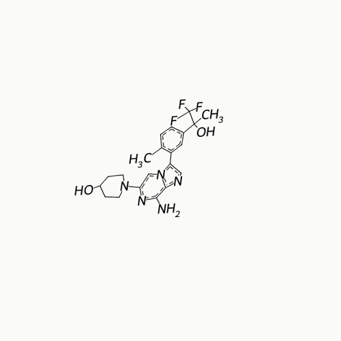 Cc1ccc(C(C)(O)C(F)(F)F)cc1-c1cnc2c(N)nc(N3CCC(O)CC3)cn12